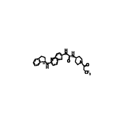 O=C(Nc1ccc2nc(N[C@@H]3CCc4ccccc43)ccc2c1)NC1CCN(C(=O)CC(F)(F)F)CC1